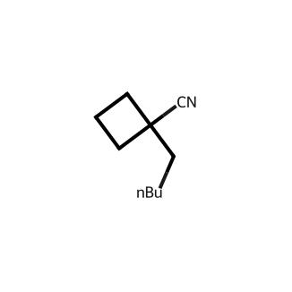 CCCCCC1(C#N)CCC1